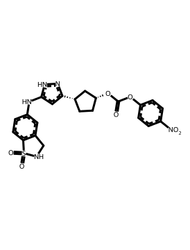 O=C(Oc1ccc([N+](=O)[O-])cc1)O[C@@H]1CC[C@H](c2cc(Nc3ccc4c(c3)CNS4(=O)=O)[nH]n2)C1